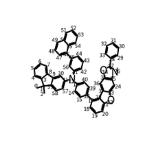 CC1(C)c2ccccc2-c2cc(N(c3ccc(-c4cccc5oc6cc7nc(-c8ccccc8)oc7cc6c45)cc3)c3cccc(-c4cccc5ccccc45)c3)ccc21